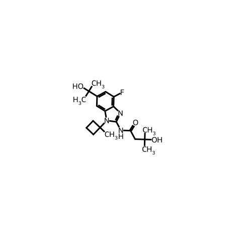 CC(C)(O)CC(=O)Nc1nc2c(F)cc(C(C)(C)O)cc2n1C1(C)CCC1